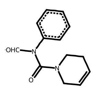 O=[C]N(C(=O)N1CC=CCC1)c1ccccc1